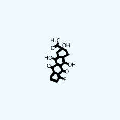 CC(=O)[C@]1(O)C[CH]c2c(O)c3c(c(O)c2C1)C(=O)c1cccc(F)c1C3=O